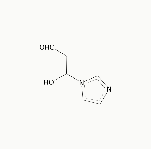 O=CCC(O)n1ccnc1